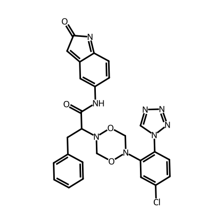 O=C1C=c2cc(NC(=O)C(Cc3ccccc3)N3CON(c4cc(Cl)ccc4-n4cnnn4)CO3)ccc2=N1